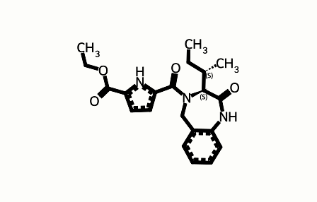 CCOC(=O)c1ccc(C(=O)N2Cc3ccccc3NC(=O)[C@@H]2[C@@H](C)CC)[nH]1